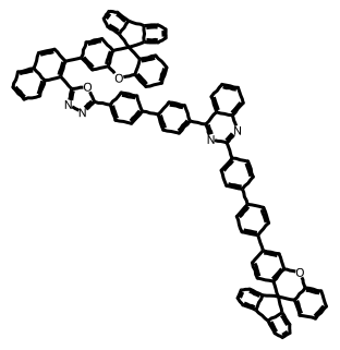 c1ccc2c(c1)Oc1cc(-c3ccc(-c4ccc(-c5nc(-c6ccc(-c7ccc(-c8nnc(-c9c(-c%10ccc%11c(c%10)Oc%10ccccc%10C%11%10c%11ccccc%11-c%11ccccc%11%10)ccc%10ccccc9%10)o8)cc7)cc6)c6ccccc6n5)cc4)cc3)ccc1C21c2ccccc2-c2ccccc21